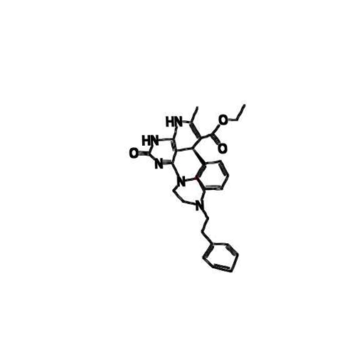 CCOC(=O)C1=C(C)Nc2[nH]c(=O)nc(N3CCN(CCc4ccccc4)CC3)c2[C@@H]1c1ccccc1